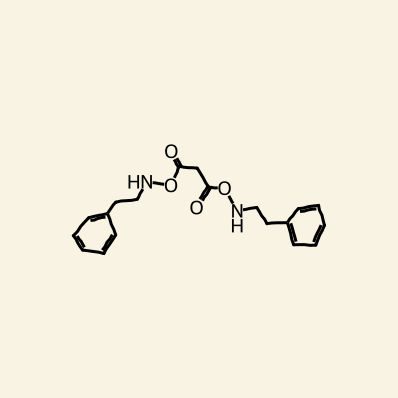 O=C(CC(=O)ONCCc1ccccc1)ONCCc1ccccc1